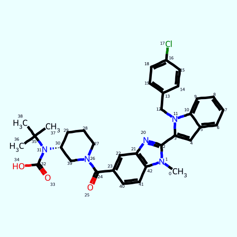 Cn1c(-c2cc3ccccc3n2Cc2ccc(Cl)cc2)nc2cc(C(=O)N3CCC[C@@H](N(C(=O)O)C(C)(C)C)C3)ccc21